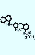 Cc1c(CN2CC[C@@H](Nc3cccc4cnccc34)C2)cccc1NS(C)(=O)=O